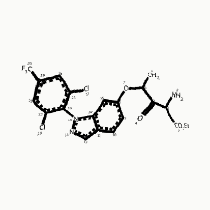 CCOC(=O)C(N)C(=O)C(C)Oc1ccc2cnn(-c3c(Cl)cc(C(F)(F)F)cc3Cl)c2c1